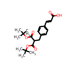 CC(C)(C)OC(=O)C(Cc1ccc(/C=C/C(=O)O)cc1)C(=O)OC(C)(C)C